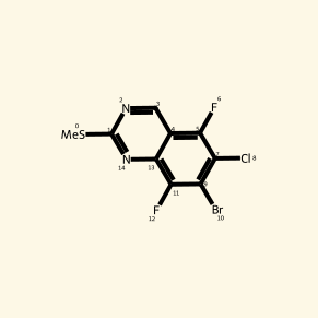 CSc1ncc2c(F)c(Cl)c(Br)c(F)c2n1